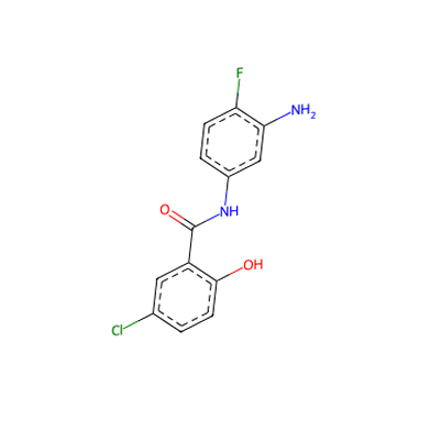 Nc1cc(NC(=O)c2cc(Cl)ccc2O)ccc1F